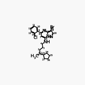 CN(CCCNc1cc(-c2ccccc2Cl)nc2c(Br)cnn12)C1CCCC1